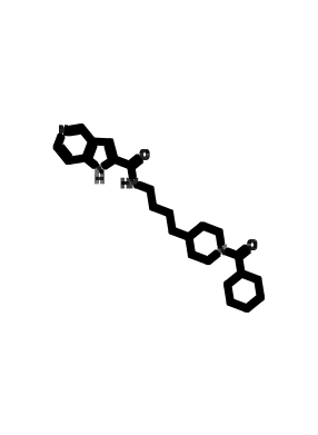 O=C(NCCCCC1CCN(C(=O)C2CCCCC2)CC1)c1cc2cnccc2[nH]1